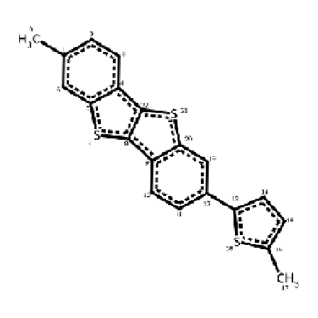 Cc1ccc2c(c1)sc1c3ccc(-c4ccc(C)s4)cc3sc21